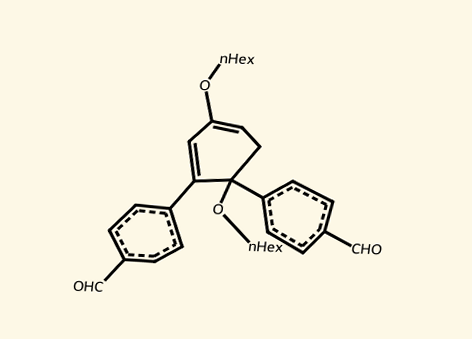 CCCCCCOC1=CCC(OCCCCCC)(c2ccc(C=O)cc2)C(c2ccc(C=O)cc2)=C1